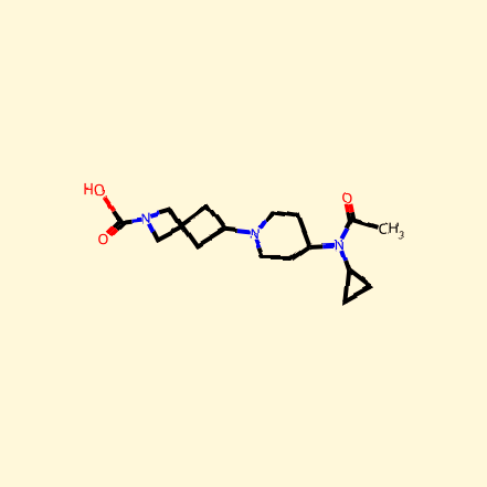 CC(=O)N(C1CC1)C1CCN(C2CC3(C2)CN(C(=O)O)C3)CC1